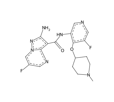 CN1CCC(Oc2c(F)cncc2NC(=O)c2c(N)nn3cc(F)cnc23)CC1